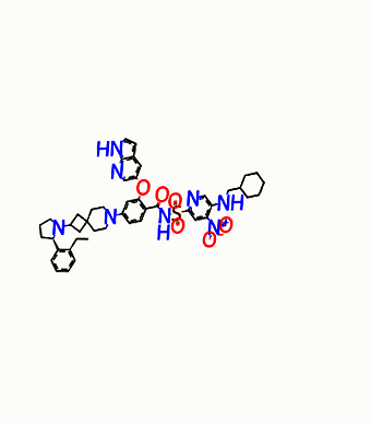 CCc1ccccc1[C@H]1CCCN1C1CC2(CCN(c3ccc(C(=O)NS(=O)(=O)c4cc([N+](=O)[O-])c(NCC5CCCCC5)cn4)c(Oc4cnc5[nH]ccc5c4)c3)CC2)C1